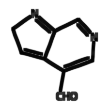 O=Cc1cncc2c1=CCN=2